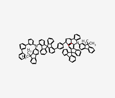 CC1(C)c2ccccc2-c2ccc(N(c3cccc(-c4cccc(-c5ccccc5)c4)c3)c3cccc4c3-c3ccccc3C43c4ccccc4-c4c(-c5ccc(-c6ccc(-c7ccccc7N(c7ccc8c(c7)C(C)(C)c7ccccc7-8)c7cccc8c7-c7ccccc7C87c8ccccc8-c8ccccc87)cc6)cc5)cccc43)cc21